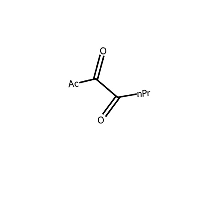 CCCC(=O)C(=O)C(C)=O